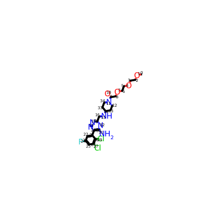 COCCOCCOCC(=O)N1CCC(NCc2nnc(-c3cc(F)cc(Cl)c3Cl)c(N)n2)CC1